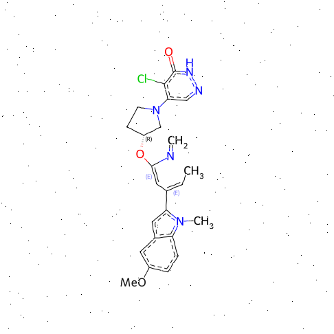 C=N/C(=C\C(=C/C)c1cc2cc(OC)ccc2n1C)O[C@@H]1CCN(c2cn[nH]c(=O)c2Cl)C1